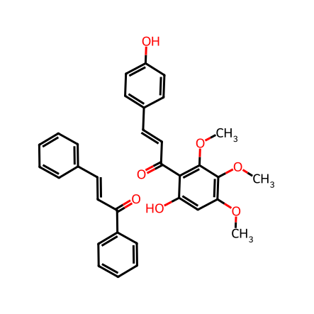 COc1cc(O)c(C(=O)C=Cc2ccc(O)cc2)c(OC)c1OC.O=C(C=Cc1ccccc1)c1ccccc1